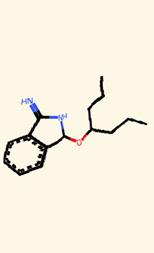 CCCC(CCC)OC1NC(=N)c2ccccc21